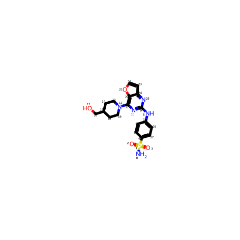 NS(=O)(=O)c1ccc(Nc2nc(N3CCC(CO)CC3)c3occc3n2)cc1